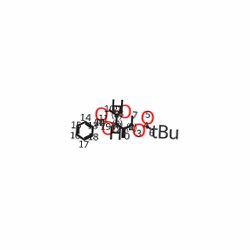 C=C1[C@@H](OC(=O)C(C)(C)C)CO[C@@H]2CO[C@@H](c3ccccc3)O[C@@H]12